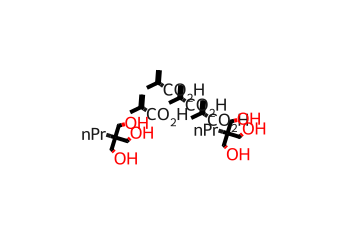 C=C(C)C(=O)O.C=C(C)C(=O)O.C=C(C)C(=O)O.C=C(C)C(=O)O.CCCC(CO)(CO)CO.CCCC(CO)(CO)CO